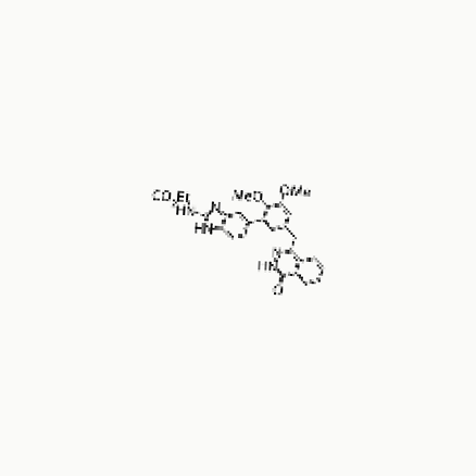 CCOC(=O)Nc1nc2cc(-c3cc(Cc4n[nH]c(=O)c5ccccc45)cc(OC)c3OC)ccc2[nH]1